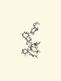 Cc1cn(-c2nccc3[nH]c(-c4n[nH]c5ccc(-c6cnccc6C)nc45)nc23)cn1